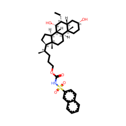 CC[C@H]1[C@@H](O)[C@@H]2[C@H](CC[C@]3(C)[C@@H]([C@H](C)CCCOC(=O)NS(=O)(=O)c4ccc5ccccc5c4)CC[C@@H]23)[C@@]2(C)CC[C@@H](O)C[C@@H]12